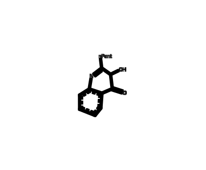 CCCCCC1=Nc2ccccc2C(=O)C1O